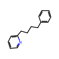 c1ccc(CCCCc2ccccn2)cc1